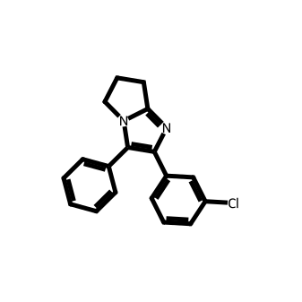 Clc1cccc(-c2nc3n(c2-c2ccccc2)CCC3)c1